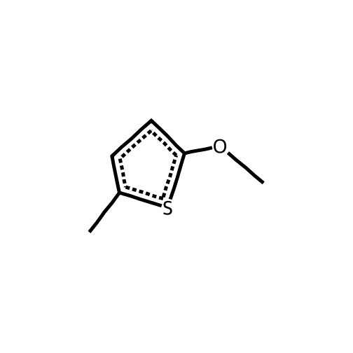 COc1ccc(C)s1